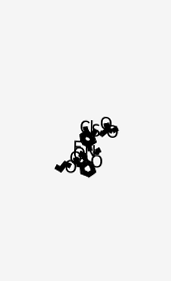 CCCOC(=O)C1=C(C(=O)N(C(C)=O)c2cc(SCC(=O)OC)c(Cl)cc2F)CCCC1